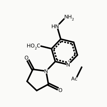 CC(C)=O.NNc1ccnc(N2C(=O)CCC2=O)c1C(=O)O